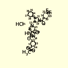 CS(=O)(=O)c1ccc(CN2C(=O)NC3(CCN(C[C@H]4CN(C(=O)C5CCC(F)(F)CC5)C[C@@H]4c4ccccc4)CC3)C2=O)cc1.Cl